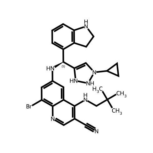 CC(C)(C)CNc1c(C#N)cnc2c(Br)cc(N[C@H](C3=CN(C4CC4)NN3)c3cccc4c3CCN4)cc12